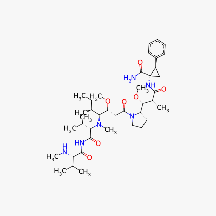 CC[C@H](C)[C@@H]([C@@H](CC(=O)N1CCC[C@H]1[C@H](OC)[C@@H](C)C(=O)N[C@@]1(C(N)=O)C[C@@H]1c1ccccc1)OC)N(C)[C@H](C(=O)NC(=O)[C@@H](NC)C(C)C)C(C)C